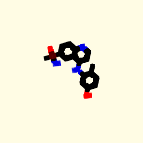 Cc1ccc(O)cc1Nc1ccnc2ccc(S(C)(=N)=O)cc12